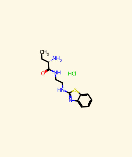 CC[C@H](N)C(=O)NCCNc1nc2ccccc2s1.Cl